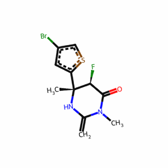 C=C1N[C@](C)(c2cc(Br)cs2)[C@@H](F)C(=O)N1C